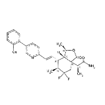 C[C@H](C(N)=O)[C@@]12CC(F)(F)[C@@H](C)[C@H](C=Cc3ccc(-c4ccccc4C#N)cn3)[C@@H]1[C@@H](C)OC2=O